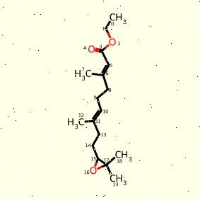 CCOC(=O)/C=C(\C)CC/C=C(\C)CCC1OC1(C)C